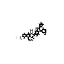 O=C(NC(Cc1ccc(O)cc1)c1cccnc1)c1ccc2c(c1)nc(-c1ccoc1)n2C1CCCCC1